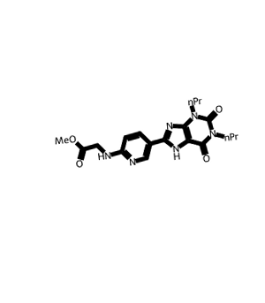 CCCn1c(=O)c2[nH]c(-c3ccc(NCC(=O)OC)nc3)nc2n(CCC)c1=O